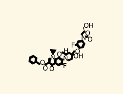 O=C(OCc1ccccc1)c1cn(C2CC2)c2c3c(c(F)cc2c1=O)N1CCC(O)(COc2ccc(N4C[C@H](CO)OC4=O)cc2F)C[C@@H]1CO3